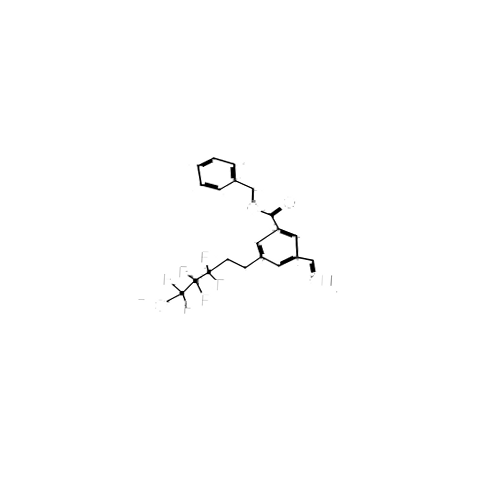 C=Cc1cc(CCC(F)(F)C(F)(F)C(F)(F)C(F)(F)F)cc(C(=O)OCc2ccccc2)c1